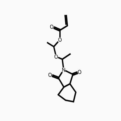 C=CC(=O)OC(C)OC(C)N1C(=O)C2CCCCC2C1=O